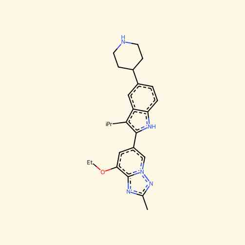 CCOc1cc(-c2[nH]c3ccc(C4CCNCC4)cc3c2C(C)C)cn2nc(C)nc12